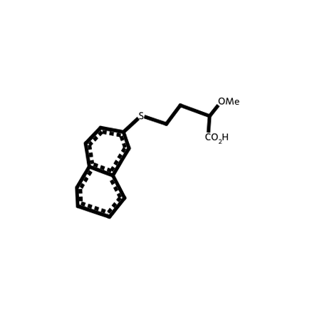 COC(CCSc1ccc2ccccc2c1)C(=O)O